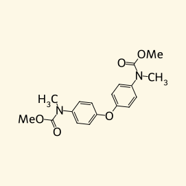 COC(=O)N(C)c1ccc(Oc2ccc(N(C)C(=O)OC)cc2)cc1